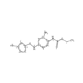 CCOC(=O)Nc1ccc(NCc2ccc(S)s2)cc1N